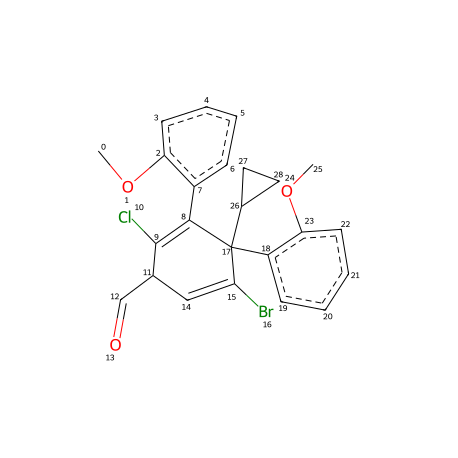 COc1ccccc1C1=C(Cl)C(C=O)C=C(Br)C1(c1ccccc1OC)C1CC1